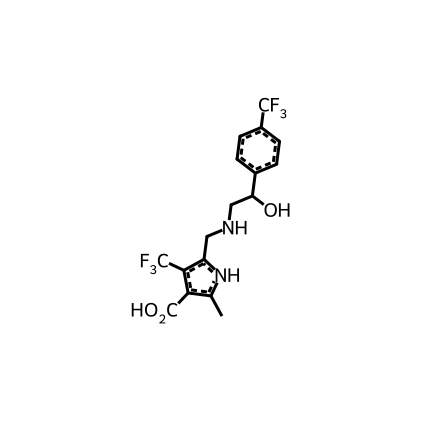 Cc1[nH]c(CNCC(O)c2ccc(C(F)(F)F)cc2)c(C(F)(F)F)c1C(=O)O